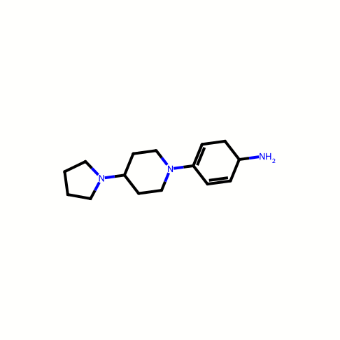 NC1C=CC(N2CCC(N3CCCC3)CC2)=CC1